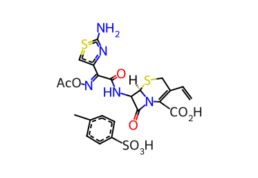 C=CC1=C(C(=O)O)N2C(=O)C(NC(=O)C(=NOC(C)=O)c3csc(N)n3)[C@H]2SC1.Cc1ccc(S(=O)(=O)O)cc1